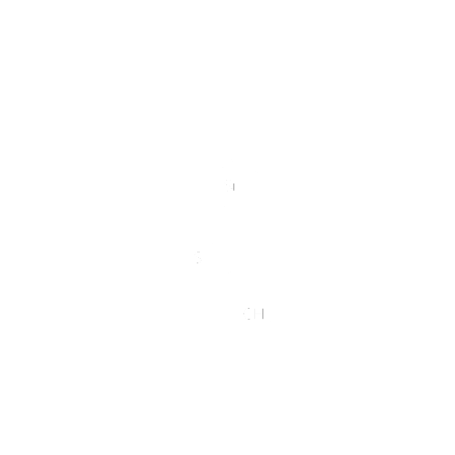 Cc1ccc2sc3cc4c(cc3c2c1)-c1ccccc1[Si]4(c1ccccc1)c1ccccc1